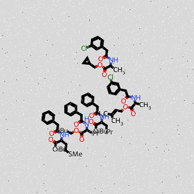 CC(C)=CCOC(=O)C(C)NC(=O)Cc1cccc(Cl)c1.CC(C)COC(=O)C(CC(C)C)NC(=O)Cc1ccccc1.CC(NC(=O)Cc1cccc(Cl)c1)C(=O)OCC1CC1.CCC(C)COC(=O)C(NC(=O)Cc1ccccc1)C(C)C.CSCCC(NC(=O)Cc1ccccc1)C(=O)OCC(C)C